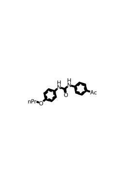 CCCOc1ccc(NC(=O)Nc2ccc(C(C)=O)cc2)cc1